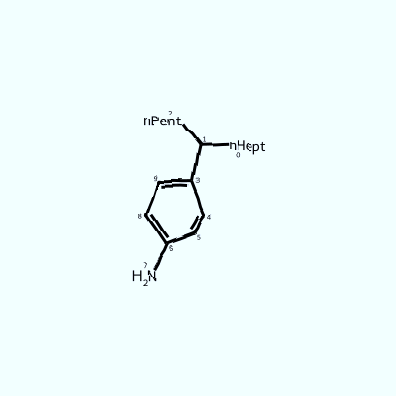 CCCCCCCC(CCCCC)c1ccc(N)cc1